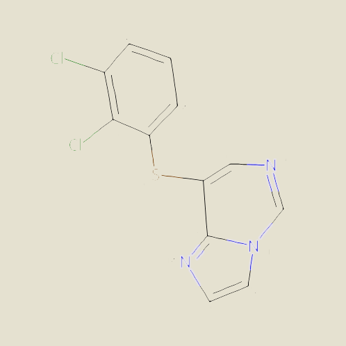 Clc1cccc(Sc2cncn3ccnc23)c1Cl